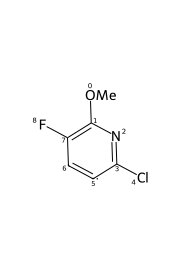 COc1nc(Cl)[c]cc1F